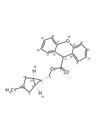 CN1C[C@@H]2[C@@H](COC(=O)C3c4ccccc4Oc4ccccc43)[C@@H]2C1